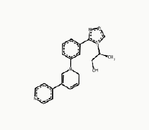 C[C@@H](CO)n1cnnc1-c1cccc(N2C=C(c3ccncc3)C=CC2)c1